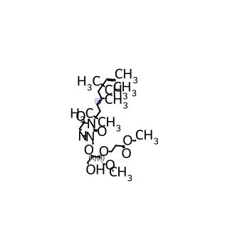 CCOC(=O)CCO[C@H](COC)[C@@H](CO)OCn1ncc(=O)n(C(C)(C)C/C=C(\C)CC(C)(C)C=C(C)C)c1=O